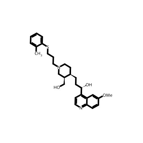 COc1ccc2nccc([C@@H](O)CC[C@@H]3CCN(CCCSc4ccccc4C)C[C@@H]3CO)c2c1